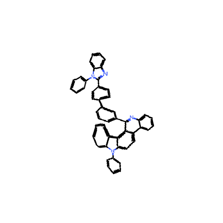 c1ccc(-n2c(-c3ccc(-c4cccc(-c5nc6ccccc6c6ccc7c(c8ccccc8n7-c7ccccc7)c56)c4)cc3)nc3ccccc32)cc1